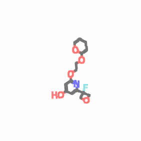 Oc1cc(OCCOC2CCCCO2)nc(C2(F)COC2)c1